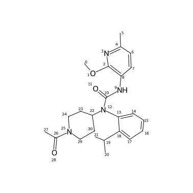 COc1nc(C)ccc1NC(=O)N(c1ccccc1C(C)C)C1CCN(C(C)=O)CC1